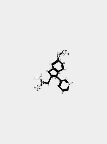 CN(C)CC1=C(c2cccnc2)c2ccc(OC(F)(F)F)cc2C1